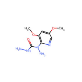 COc1cnc(N(N)C(=O)NN)c(OC)c1